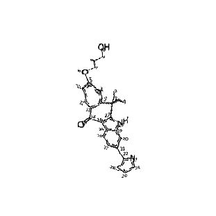 CC1(C)c2cc(OCCCO)ccc2C(=O)c2c1[nH]c1cc(-c3nccs3)ccc21